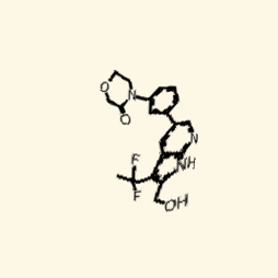 CC(F)(F)c1c(CO)[nH]c2ncc(-c3cccc(N4CCOCC4=O)c3)cc12